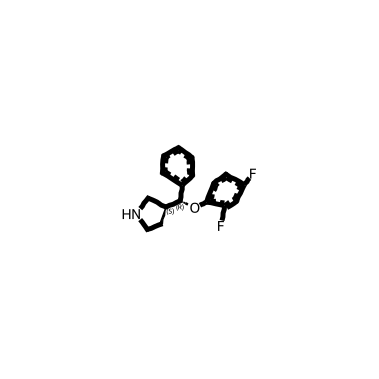 Fc1ccc(O[C@@H](c2ccccc2)[C@H]2CCNC2)c(F)c1